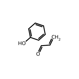 C=CC=O.Oc1ccccc1